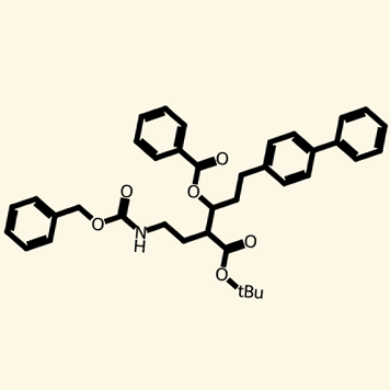 CC(C)(C)OC(=O)C(CCNC(=O)OCc1ccccc1)C(CCc1ccc(-c2ccccc2)cc1)OC(=O)c1ccccc1